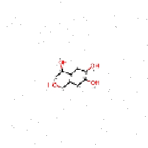 CC(O)CCCO.OCCCCO